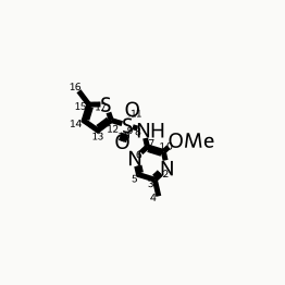 COc1nc(C)cnc1NS(=O)(=O)c1ccc(C)s1